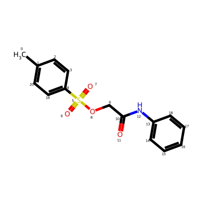 Cc1ccc(S(=O)(=O)OCC(=O)Nc2ccccc2)cc1